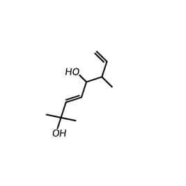 C=CC(C)C(O)C=CC(C)(C)O